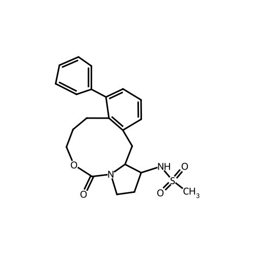 CS(=O)(=O)NC1CCN2C(=O)OCCCc3c(cccc3-c3ccccc3)CC12